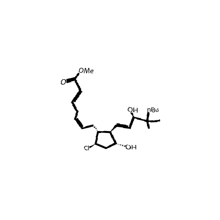 CCCCC(C)(C)[C@H](O)/C=C/[C@@H]1[C@@H](C/C=C\C/C=C/C(=O)OC)[C@H](Cl)C[C@H]1O